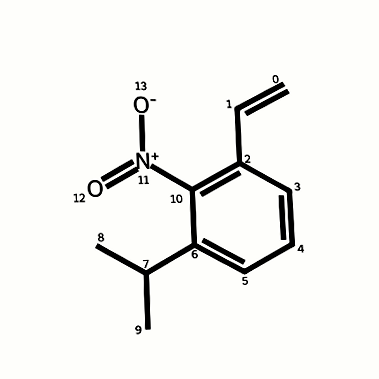 C=Cc1cccc(C(C)C)c1[N+](=O)[O-]